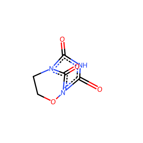 O=c1[nH]c(=O)n2c(=O)n1CCO2